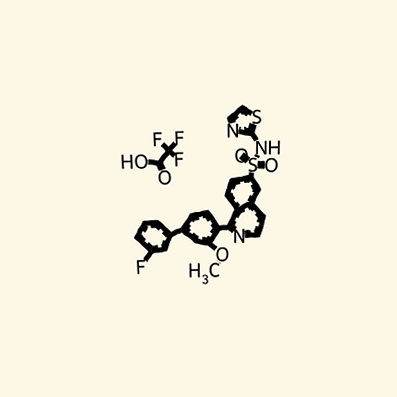 COc1cc(-c2cccc(F)c2)ccc1-c1nccc2cc(S(=O)(=O)Nc3nccs3)ccc12.O=C(O)C(F)(F)F